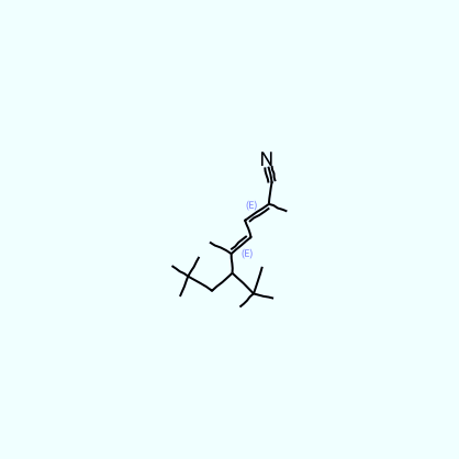 C/C(C#N)=C\C=C(/C)C(CC(C)(C)C)C(C)(C)C